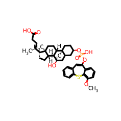 COc1cccc2c1Sc1ccccc1C=C2OP(=O)(O)O[C@@H]1CC[C@@]2(C)C(C1)C[C@@H](O)[C@H]1[C@@H]3CC[C@H]([C@H](C)CCC(=O)O)[C@@]3(C)CC[C@@H]12